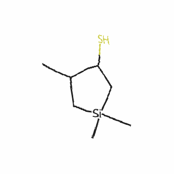 CC1C[Si](C)(C)CC1S